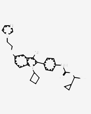 CC(OC(=O)Nc1ccc(-c2c(N)c3cc(OCCn4ccnc4)ccc3n2C2CCC2)cc1)C1CC1